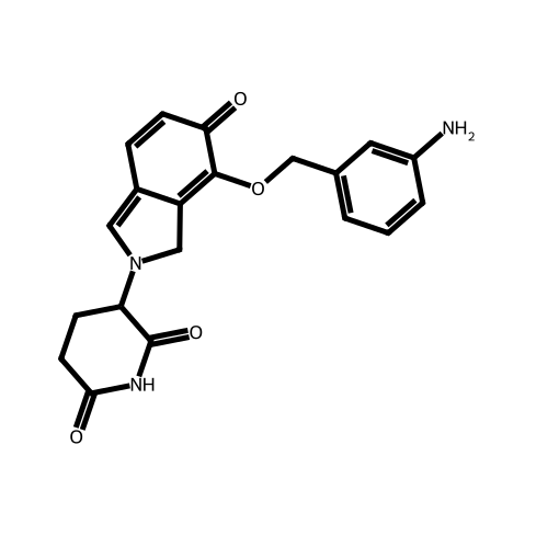 Nc1cccc(COC2=C3CN(C4CCC(=O)NC4=O)C=C3C=CC2=O)c1